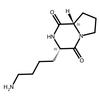 NCCCC[C@@H]1NC(=O)[C@@H]2CCCN2C1=O